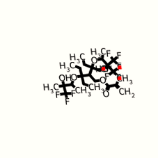 C=C(C)C(=O)OCC(C(CC)(CC)OC(C)C(C)(O)C(F)(F)F)C(CC)(CC)OC(C)C(O)(C(F)(F)F)C(F)(F)F